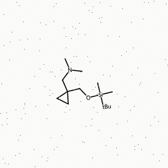 CN(C)CC1(CO[Si](C)(C)C(C)(C)C)CC1